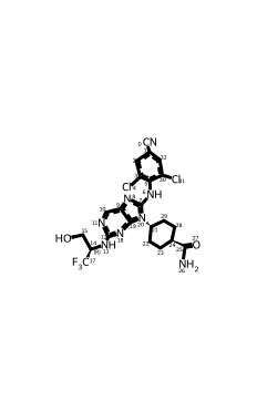 N#Cc1cc(Cl)c(Nc2nc3cnc(N[C@H](CO)C(F)(F)F)nc3n2[C@H]2CC[C@H](C(N)=O)CC2)c(Cl)c1